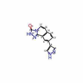 O=c1[nH]nc2c3cc(-c4cn[nH]c4)ccc3ccn12